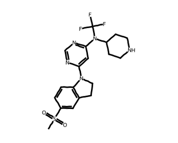 CS(=O)(=O)c1ccc2c(c1)CCN2c1cc(N(C2CCNCC2)C(F)(F)F)ncn1